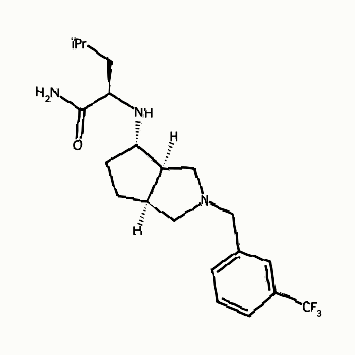 CC(C)C[C@@H](N[C@H]1CC[C@@H]2CN(Cc3cccc(C(F)(F)F)c3)C[C@@H]21)C(N)=O